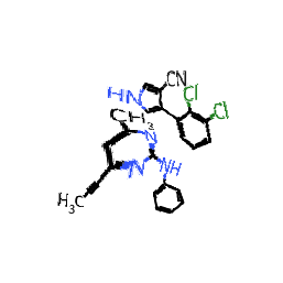 CC#Cc1cc(C)nc(Nc2ccccc2)n1.N#Cc1c[nH]cc1-c1cccc(Cl)c1Cl